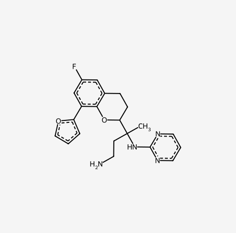 CC(CCN)(Nc1ncccn1)C1CCc2cc(F)cc(-c3ccco3)c2O1